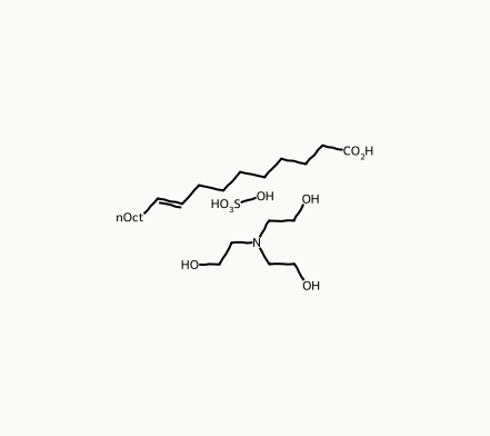 CCCCCCCCC=CCCCCCCCC(=O)O.O=S(=O)(O)O.OCCN(CCO)CCO